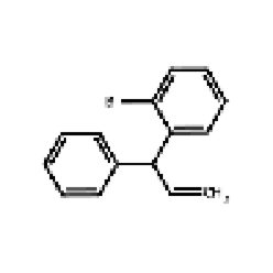 C=CC(c1ccccc1)c1ccccc1Br